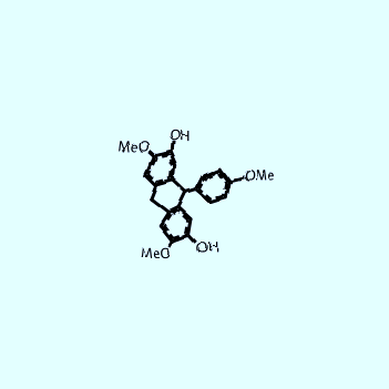 COc1ccc(C2c3cc(O)c(OC)cc3Cc3cc(OC)c(O)cc32)cc1